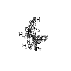 CC(C)CCN(CCC[S+](C)[O-])C(=O)[C@H](Cc1ccccc1)N(C)C(=O)CNC(=O)[C@@H](C)NC(=O)[C@@H](N)Cc1ccc(O)cc1